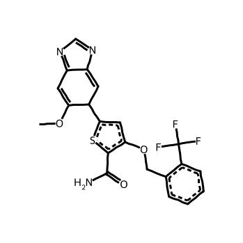 COC1=CC2=NC=NC2=CC1c1cc(OCc2ccccc2C(F)(F)F)c(C(N)=O)s1